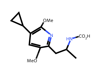 COc1cc(C2CC2)c(OC)nc1CC(C)NC(=O)O